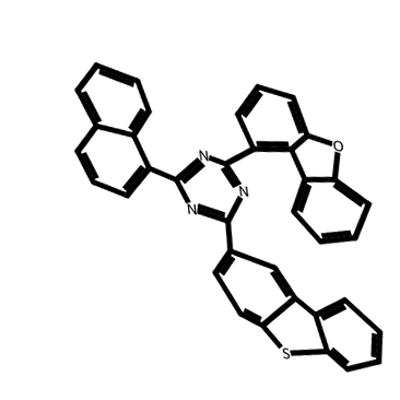 c1ccc2c(-c3nc(-c4ccc5sc6ccccc6c5c4)nc(-c4cccc5oc6ccccc6c45)n3)cccc2c1